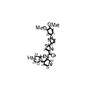 COc1ccc(-n2ccc(-c3nc(C(=O)Nc4cnccc4N4CCNCC4)cs3)n2)cc1OC